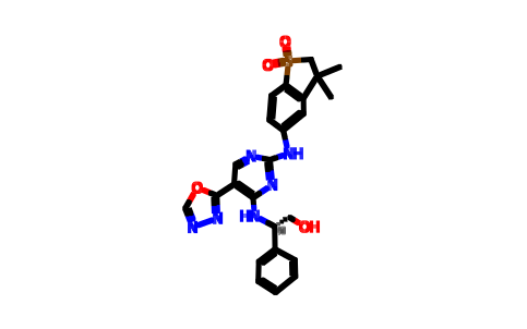 CC1(C)CS(=O)(=O)c2ccc(Nc3ncc(-c4nnco4)c(N[C@H](CO)c4ccccc4)n3)cc21